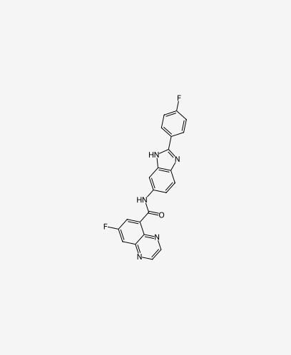 O=C(Nc1ccc2nc(-c3ccc(F)cc3)[nH]c2c1)c1cc(F)cc2nccnc12